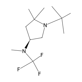 CN([C@@H]1CN(C(C)(C)C)C(C)(C)C1)C(F)(F)F